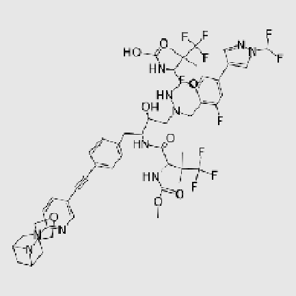 COC(=O)N[C@H](C(=O)N[C@@H](Cc1ccc(C#Cc2ccc(N3CC4CC(C3)N4C3COC3)nc2)cc1)[C@@H](O)CN(Cc1c(F)cc(-c2cnn(C(F)F)c2)cc1F)NC(=O)[C@@H](NC(=O)O)C(C)(C)C(F)(F)F)C(C)(C)C(F)(F)F